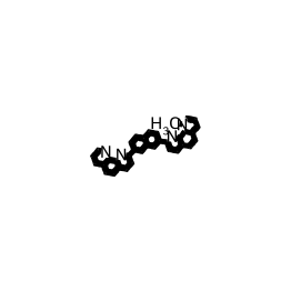 CN1C=CC=C2C=Cc3ccc(-c4ccc5ccc(-c6ccc7ccc8cccnc8c7n6)cc5c4)nc3C21